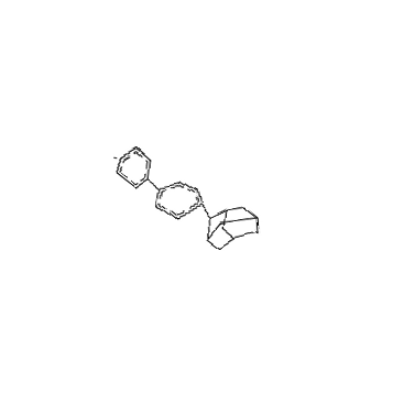 [c]1ccc(-c2ccc(C3C4CC5CC(C4)CC3C5)cc2)cc1